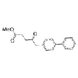 COC(=O)CCC(=O)Cc1ccc(-c2ccccc2)cc1